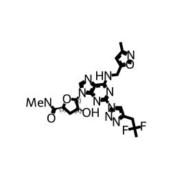 CNC(=O)[C@@H]1C[C@@H](O)[C@H](n2cnc3c(NCc4cc(C)no4)nc(-n4cc(CC(C)(F)F)nn4)nc32)O1